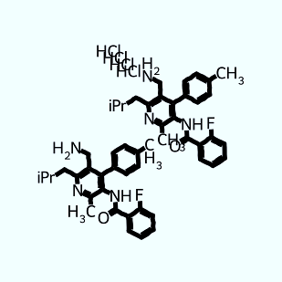 Cc1ccc(-c2c(CN)c(CC(C)C)nc(C)c2NC(=O)c2ccccc2F)cc1.Cc1ccc(-c2c(CN)c(CC(C)C)nc(C)c2NC(=O)c2ccccc2F)cc1.Cl.Cl.Cl.Cl